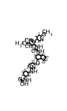 COc1ccc(-n2nc(C(C)(C)C)cc2NC(=O)Nc2ccc(Oc3ccnc(Nc4cccc(NC(=O)O)c4)n3)c3ccccc23)cn1